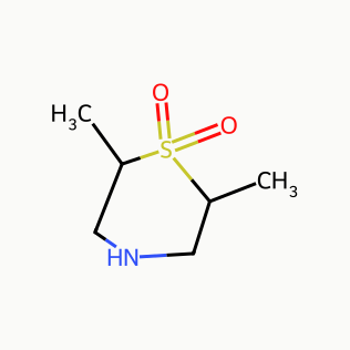 CC1CNCC(C)S1(=O)=O